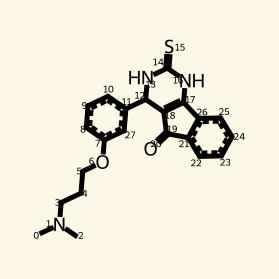 CN(C)CCCOc1cccc(C2NC(=S)NC3=C2C(=O)c2ccccc23)c1